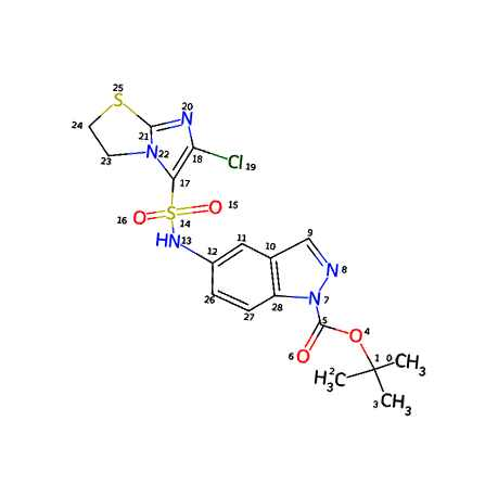 CC(C)(C)OC(=O)n1ncc2cc(NS(=O)(=O)c3c(Cl)nc4n3CCS4)ccc21